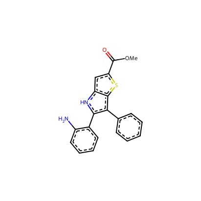 COC(=O)c1cc2[nH]c(-c3ccccc3N)c(-c3ccccc3)c2s1